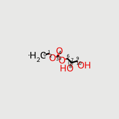 [CH2]COC(=O)OC[C@@H](O)CO